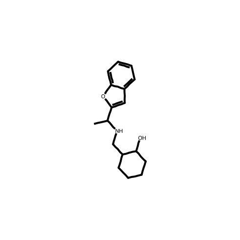 CC(NCC1CCCCC1O)c1cc2ccccc2o1